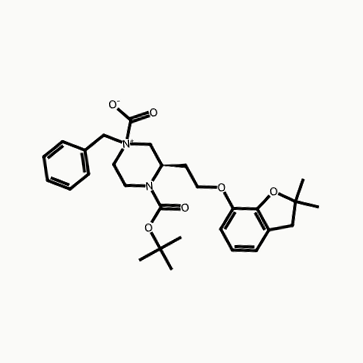 CC(C)(C)OC(=O)N1CC[N+](Cc2ccccc2)(C(=O)[O-])C[C@H]1CCOc1cccc2c1OC(C)(C)C2